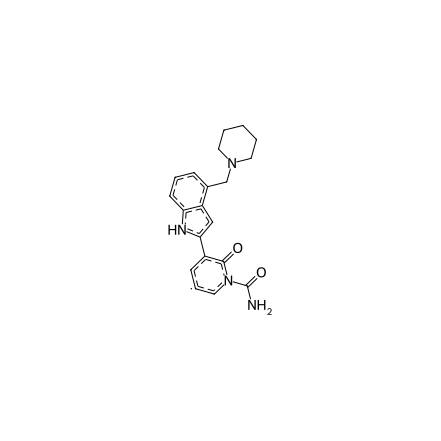 NC(=O)n1c[c]cc(-c2cc3c(CN4CCCCC4)cccc3[nH]2)c1=O